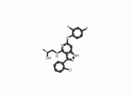 C[C@H](O)CNc1nc(Oc2ccc(F)cc2F)cc2[nH]nc(-c3ccccc3Cl)c12